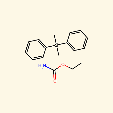 CCOC(N)=O.C[Si](C)(c1ccccc1)c1ccccc1